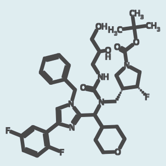 CC(C)(C)OC(=O)N1C[C@@H](CN(C(=O)NCC(O)CO)C(c2nc(-c3cc(F)ccc3F)cn2Cc2ccccc2)C2CCOCC2)[C@@H](F)C1